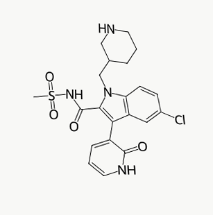 CS(=O)(=O)NC(=O)c1c(-c2ccc[nH]c2=O)c2cc(Cl)ccc2n1CC1CCCNC1